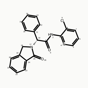 O=C(Nc1ncccc1Cl)[C@@H](c1ccccc1)N1Cc2ccccc2C1=O